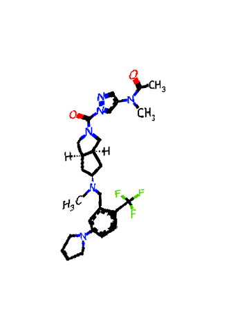 CC(=O)N(C)c1cnn(C(=O)N2C[C@H]3C[C@H](N(C)Cc4cc(N5CCCC5)ccc4C(F)(F)F)C[C@H]3C2)c1